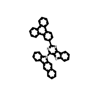 c1ccc2cc3c(cc2c1)c1ccccc1n3-c1nc(-c2ccc3c4ccccc4c4ccccc4c3c2)nc2c1oc1ccccc12